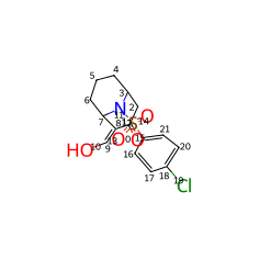 O=C1CC2CCCC(C1=CO)N2S(=O)(=O)c1ccc(Cl)cc1